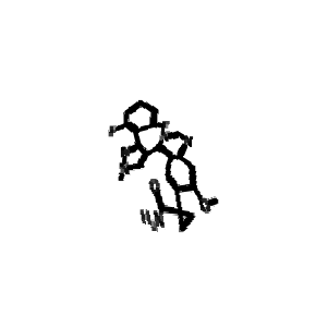 COc1cc2ncnc(-c3cn(C)nc3-c3c(F)cccc3F)c2cc1C1(C(N)=O)CC1